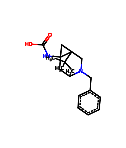 CC(C)(C)C12CN(Cc3ccccc3)CCC1(NC(=O)O)C2